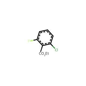 CCOC(=O)c1c(F)cccc1Cl